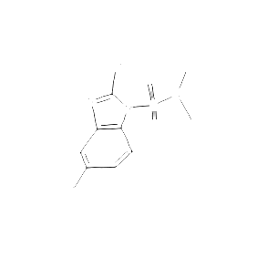 CN(C)S(=O)(=O)n1c(C#N)nc2cc(Cl)ccc21